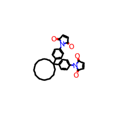 O=C1C=CC(=O)N1c1ccc(C2(c3ccc(N4C(=O)C=CC4=O)cc3)CCCCCCCCCCC2)cc1